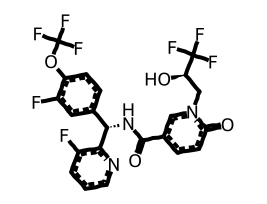 O=C(N[C@@H](c1ccc(OC(F)(F)F)c(F)c1)c1ncccc1F)c1ccc(=O)n(C[C@@H](O)C(F)(F)F)c1